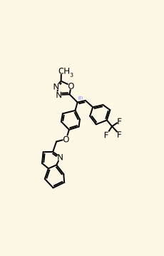 Cc1nnc(/C(=C/c2ccc(C(F)(F)F)cc2)c2ccc(OCc3ccc4ccccc4n3)cc2)o1